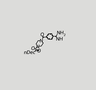 CCCCCCCCCCS(=O)(=O)N1CCN(C(=O)c2ccc(C(=N)N)cc2)CC1